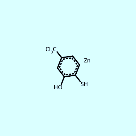 Oc1cc(C(Cl)(Cl)Cl)ccc1S.[Zn]